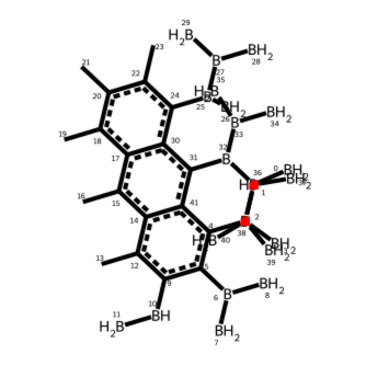 BBB(B)c1c(B(B)B)c(BB)c(C)c2c(C)c3c(C)c(C)c(C)c(B(B)B(B)B)c3c(B(B(B)B)B(B)B(B)B)c12